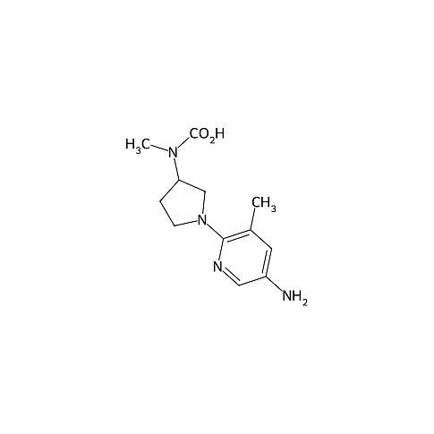 Cc1cc(N)cnc1N1CCC(N(C)C(=O)O)C1